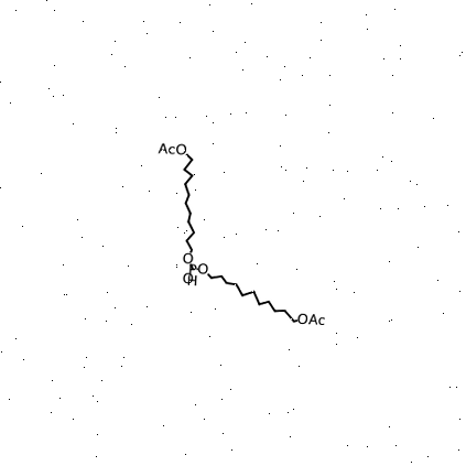 CC(=O)OCCCCCCCCCCCO[PH](=O)OCCCCCCCCCCCOC(C)=O